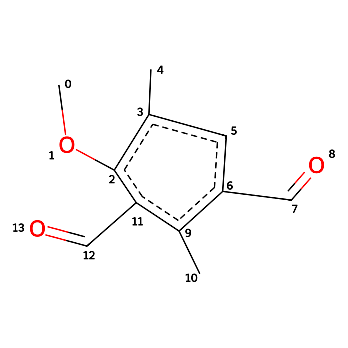 COc1c(C)cc(C=O)c(C)c1C=O